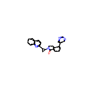 O=c1c2cccc(-c3cncnc3)c2ccn1C1CC1c1ccc2ccccc2n1